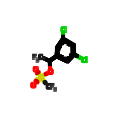 O=S(=O)(OC(c1cc(Cl)cc(Cl)c1)C(F)(F)F)C(F)(F)F